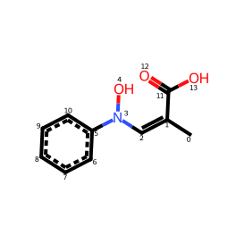 CC(=CN(O)c1ccccc1)C(=O)O